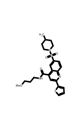 COCCCNC(=O)c1cc(-c2cccs2)nc2ccc(S(=O)(=O)N3CCC(C)CC3)cc12